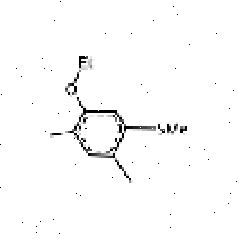 CCOc1cc(SC)c(C)cc1C